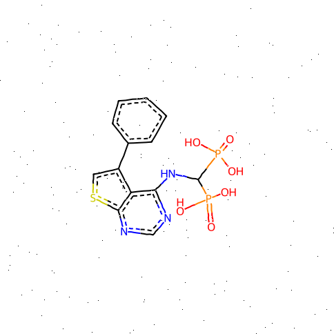 O=P(O)(O)C(Nc1ncnc2scc(-c3ccccc3)c12)P(=O)(O)O